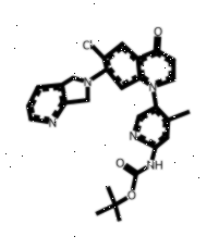 Cc1cc(NC(=O)OC(C)(C)C)ncc1-n1ccc(=O)c2cc(Cl)c(N3Cc4cccnc4C3)cc21